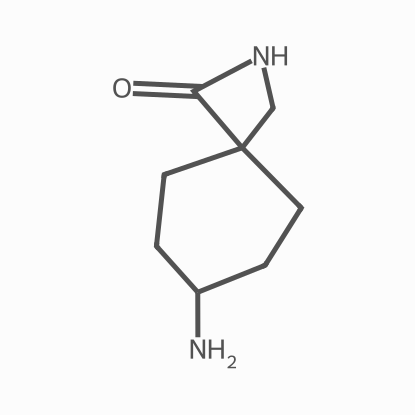 NC1CCC2(CC1)CNC2=O